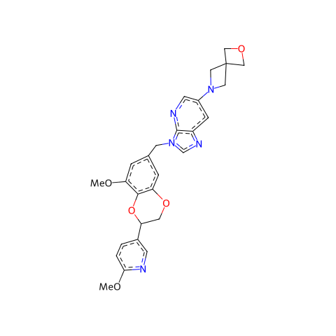 COc1ccc(C2COc3cc(Cn4cnc5cc(N6CC7(COC7)C6)cnc54)cc(OC)c3O2)cn1